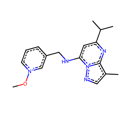 CO[n+]1cccc(CNc2cc(C(C)C)nc3c(C)cnn23)c1